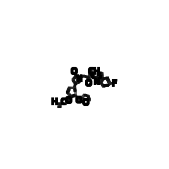 COc1ccc(C2CC(=O)N(CC(=O)N(C)c3nc4ccc(F)cc4s3)C2)cc1OC1CCCO1